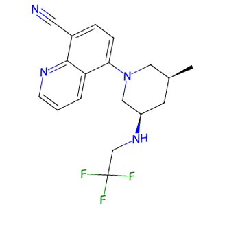 C[C@H]1C[C@@H](NCC(F)(F)F)CN(c2ccc(C#N)c3ncccc23)C1